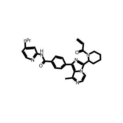 C=CC(=O)N1CCCCC1c1nc(-c2ccc(C(=O)Nc3cc(CCC)ccn3)cc2)c2c(C)nccn12